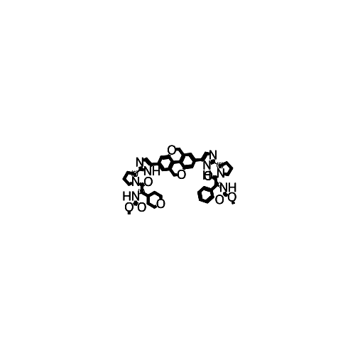 COC(=O)N[C@H](C(=O)N1CCC[C@H]1c1ncc(-c2cc3c4c(c2)OCc2cc(-c5cnc([C@@H]6CCCN6C(=O)[C@H](NC(=O)OC)c6ccccc6)[nH]5)cc(c2-4)OC3)[nH]1)C1CCOCC1